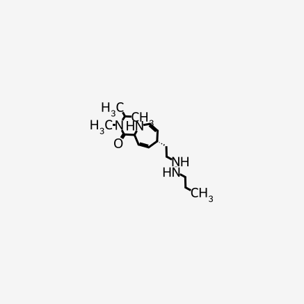 CCCNNCC[C@H]1C=CNC(C(=O)N(C)C(C)C)C=C1